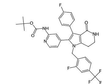 CC(C)(C)OC(=O)Nc1cc(-c2c(-c3ccc(F)cc3)c3c(n2Cc2ccc(C(F)(F)F)cc2F)CCNC3=O)ccn1